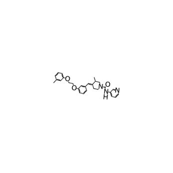 Cc1cccc(OCCOc2cccc(C=C3CCN(C(=O)Nc4cccnc4)CC3C)c2)c1